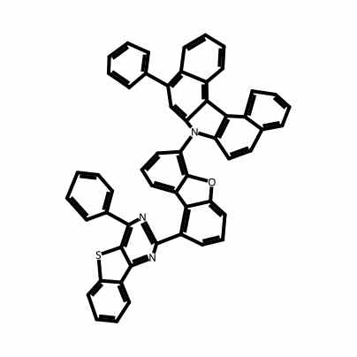 c1ccc(-c2cc3c(c4ccccc24)c2c4ccccc4ccc2n3-c2cccc3c2oc2cccc(-c4nc(-c5ccccc5)c5sc6ccccc6c5n4)c23)cc1